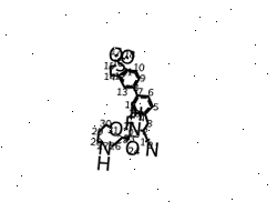 N#CC(Cc1ccc(-c2ccc3c(c2)CCS3(=O)=O)cc1F)NC(=O)C1CNCCCO1